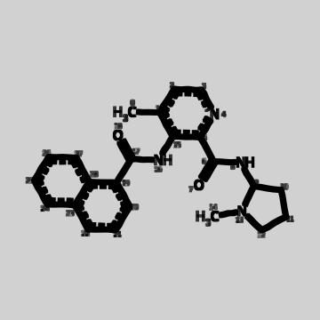 Cc1ccnc(C(=O)NC2CCCN2C)c1NC(=O)c1cccc2ccccc12